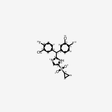 O=S(=O)(c1cnc(C(c2ccc(F)c(Cl)c2)c2ccc(F)c(Cl)c2)[nH]1)C1CC1